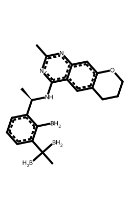 Bc1c([C@@H](C)Nc2nc(C)nc3cc4c(cc23)CCCO4)cccc1C(B)(B)C